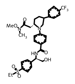 CCS(=O)(=O)c1ccc([C@H](CO)NC(=O)c2ccc(N3CC(c4ccc(C(F)(F)F)cc4)CC[C@H]3CC(=O)N(C)OC)cc2)cc1